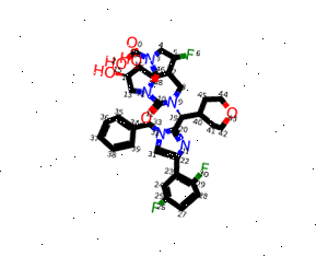 O=C(O)N1CC(F)C(CN(C(=O)N2C[C@@H](O)[C@@H](O)C2)[C@@H](c2nc(-c3cc(F)ccc3F)cn2Cc2ccccc2)C2CCOCC2)C1